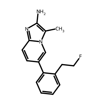 Cc1c(N)nc2ccc(-c3ccccc3CCF)cn12